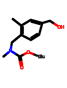 Cc1cc(CO)ccc1CN(C)C(=O)OC(C)(C)C